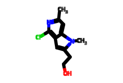 Cc1cc2c(cc(CCO)n2C)c(Cl)n1